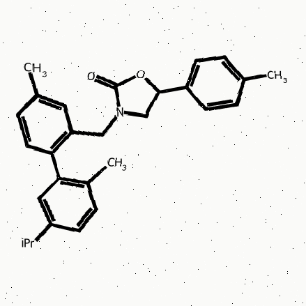 Cc1ccc(C2CN(Cc3cc(C)ccc3-c3cc(C(C)C)ccc3C)C(=O)O2)cc1